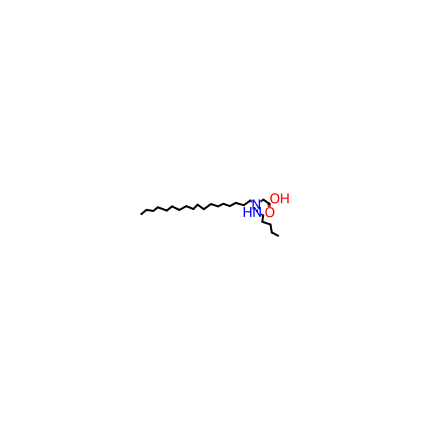 CCCCCCCCCCCCCCCCCCN(CC(=O)O)NCCCCC